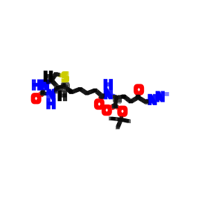 CC(C)(C)OC(=O)[C@H](CCC(=O)C=[N+]=[N-])NC(=O)CCCC[C@@H]1SC[C@@H]2NC(=O)N[C@@H]21